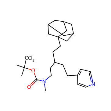 CN(CCC(C[CH]c1ccncc1)CCC12CC3CC(CC(C3)C1)C2)C(=O)OC(C)(C)C(Cl)(Cl)Cl